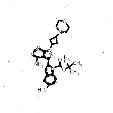 Cc1ccc2c(c1)cc(-c1nn(C3CC(N4CCOCC4)C3)c3ncnc(N)c13)n2C(=O)OC(C)(C)C